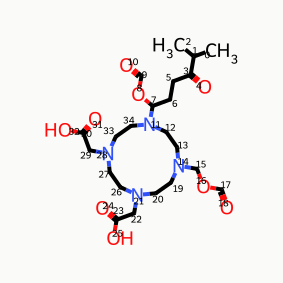 CC(C)C(=O)CCC(OC=O)N1CCN(COC=O)CCN(CC(=O)O)CCN(CC(=O)O)CC1